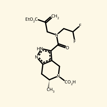 C=C(CN(CC(F)F)C(=O)c1[nH]nc2c1CN(C(=O)O)[C@H](C)C2)C(=O)OCC